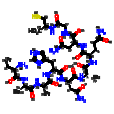 CC[C@H](C)[C@H](NC(=O)[C@H](CC(N)=O)NC(=O)[C@H](Cc1c[nH]cn1)NC(=O)[C@@H](NC(=O)[C@@H](NC(=O)[C@@H](N)CC(C)C)[C@@H](C)CC)C(C)C)C(=O)N[C@@H](CCC(N)=O)C(=O)N[C@@H](CC(N)=O)C(=O)NCC(=O)N[C@@H](CS)C(=O)O